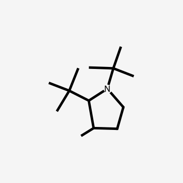 CC1CCN(C(C)(C)C)C1C(C)(C)C